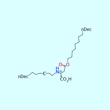 CCCCCCCCCCCCCCCCCCOC(=O)C[C@H](NCCCCCCCCCCCCCCCC)C(=O)O